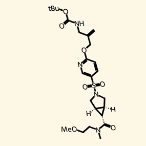 C=C(CNC(=O)OC(C)(C)C)COc1ccc(S(=O)(=O)N2C[C@@H]3[C@H](C2)[C@H]3C(=O)N(C)CCOC)cn1